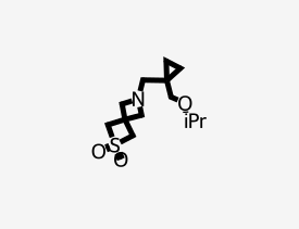 CC(C)OCC1(CN2CC3(C2)CS(=O)(=O)C3)CC1